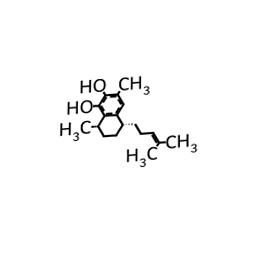 CC(C)=CCC[C@@H]1CC[C@@H](C)c2c1cc(C)c(O)c2O